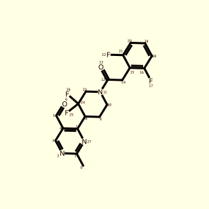 Cc1ncc(C=O)c(C2CCN(C(=O)Cc3c(F)cccc3F)CC2(F)F)n1